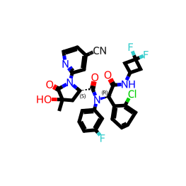 CC1(O)C[C@@H](C(=O)N(c2cccc(F)c2)[C@@H](C(=O)NC2CC(F)(F)C2)c2ccccc2Cl)N(c2cc(C#N)ccn2)C1=O